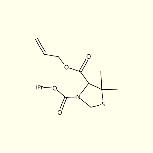 C=CCOC(=O)C1N(C(=O)OC(C)C)CSC1(C)C